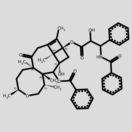 CC1=C2CC(=O)[C@]3(C)CC[C@H](C)OC[C@@H](C)[C@@]3(C)C(OC(=O)c3ccccc3)[C@]3(O)C[C@]1(OC(=O)C(O)C(NC(=O)c1ccccc1)c1ccccc1)[C@]23C